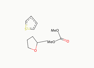 CC1CCCO1.COC(=O)OC.c1ccsc1